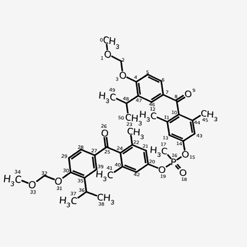 COCOc1ccc(C(=O)c2c(C)cc(OP(C)(=O)Oc3cc(C)c(C(=O)c4ccc(OCOC)c(C(C)C)c4)c(C)c3)cc2C)cc1C(C)C